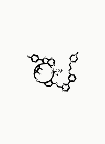 Cc1c2ccc(c1Cl)COCc1ccc(OCc3nccc(-c4cccc(OCCN5CCN(C)CC5)c4)n3)c(c1)C[C@H](C(=O)O)Oc1ncnc3sc(-c4ccc(F)cc4)c-2c13